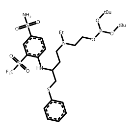 CCN(CCOP(OC(C)(C)C)OC(C)(C)C)CCC(CSc1ccccc1)Nc1ccc(S(N)(=O)=O)cc1S(=O)(=O)C(F)(F)F